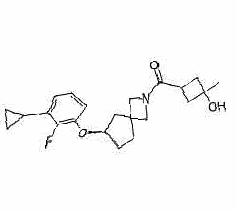 CC1(O)CC(C(=O)N2CC3(CC[C@@H](Oc4cccc(C5CC5)c4F)C3)C2)C1